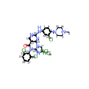 CN1CCN(c2ccc(Nc3ncc4c(n3)N3CCN=C3N(c3c(Cl)cccc3Cl)C4=O)cc2Cl)CC1.Cl.Cl